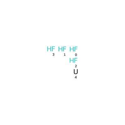 F.F.F.F.[U]